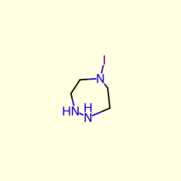 IN1CCNNCC1